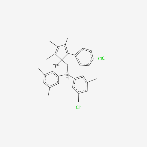 CC1=C(C)[C]([Ti+3])(C[SiH](c2cc(C)cc(C)c2)c2cc(C)cc(C)c2)C(c2ccccc2)=C1C.[Cl-].[Cl-].[Cl-]